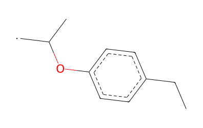 [CH2]C(C)Oc1ccc(CC)cc1